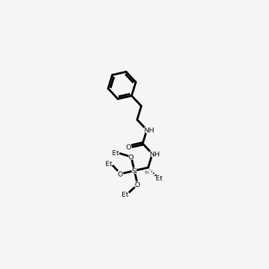 CCO[Si](OCC)(OCC)[C@@H](CC)NC(=O)NCCc1ccccc1